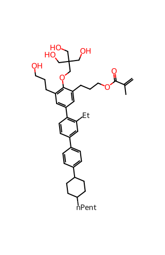 C=C(C)C(=O)OCCCc1cc(-c2ccc(-c3ccc(C4CCC(CCCCC)CC4)cc3)cc2CC)cc(CCCO)c1OCC(CO)(CO)CO